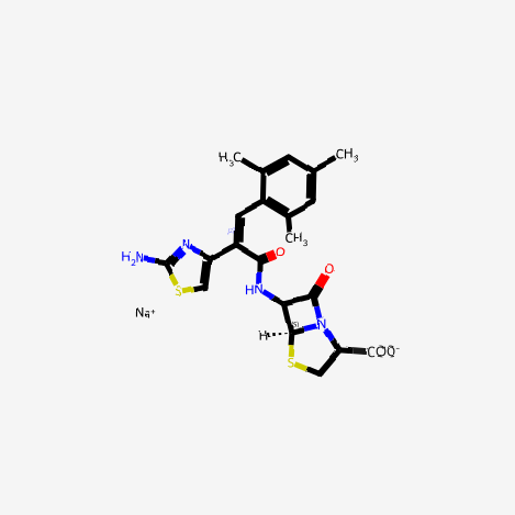 Cc1cc(C)c(/C=C(\C(=O)NC2C(=O)N3C(C(=O)[O-])CS[C@@H]23)c2csc(N)n2)c(C)c1.[Na+]